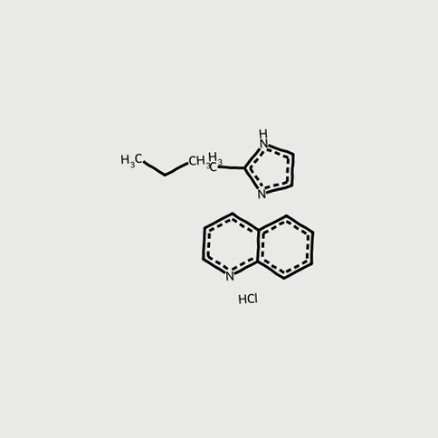 CCC.Cc1ncc[nH]1.Cl.c1ccc2ncccc2c1